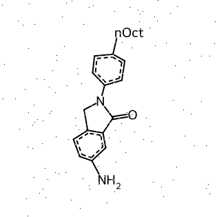 CCCCCCCCc1ccc(N2Cc3ccc(N)cc3C2=O)cc1